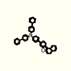 c1ccc(-c2ccc(N(c3ccc(-c4ccccc4)cc3)c3ccc(-c4ccc5c(c4)oc4ccc6ccccc6c45)cc3)cc2)cc1